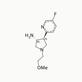 COCCN1C[C@H](c2ccc(F)cn2)[C@@H](N)C1